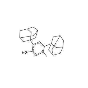 Cc1cc(O)c(C23CC4CC(CC(C4)C2)C3)cc1C12CC3CC(CC(C3)C1)C2